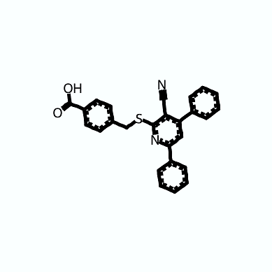 N#Cc1c(-c2ccccc2)cc(-c2ccccc2)nc1SCc1ccc(C(=O)O)cc1